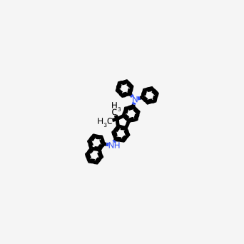 CC1(C)c2cc(Nc3cccc4ccccc34)ccc2-c2ccc(N(c3ccccc3)c3ccccc3)cc21